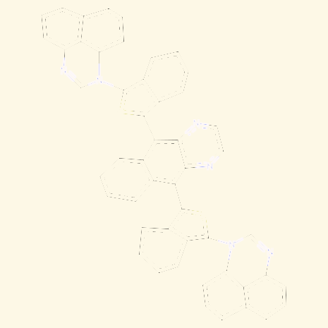 C1=Nc2cccc3cccc(c23)N1c1sc(-c2c3ccccc3c(-c3sc(N4C=Nc5cccc6cccc4c56)c4ccccc34)c3nccnc23)c2ccccc12